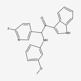 COc1cccc(NC(C(=O)c2c[nH]c3ccccc23)c2ccc(F)nc2)c1